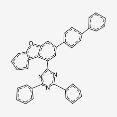 c1ccc(-c2ccc(-c3cc(-c4nc(-c5ccccc5)nc(-c5ccccc5)n4)c4c(c3)oc3ccccc34)cc2)cc1